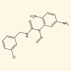 C=NN(C(=O)NCc1cccc(Cl)c1)c1cc(N)ccc1N